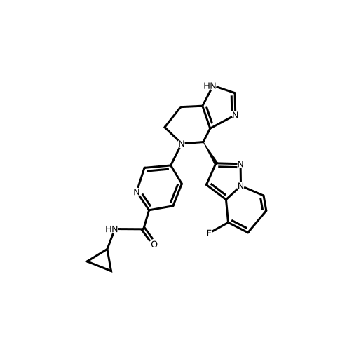 O=C(NC1CC1)c1ccc(N2CCc3[nH]cnc3[C@H]2c2cc3c(F)cccn3n2)cn1